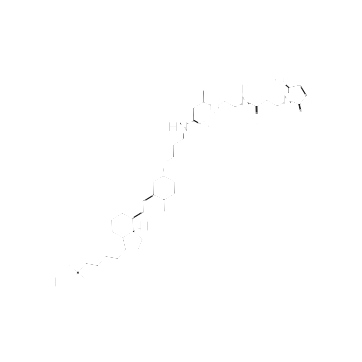 CC(CC(=O)NCCCO[C@H]1CCC(C)/C(=C\C=C2/CCC[C@]3(C)[C@@H]([C@H](C)CCCC(C)(C)O)CC[C@@H]23)C1)OCCNC(=O)CCN1C(=O)C=CC1=O